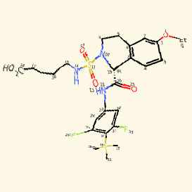 CCOc1ccc2c(c1)CCN(S(=O)(=O)NCCCC(=O)O)[C@H]2C(=O)Nc1cc(F)c(S(C)(C)C)c(F)c1